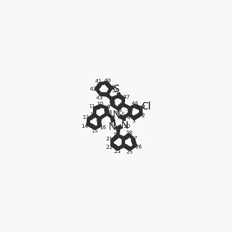 Clc1ccc(-c2nc(-c3cccc4ccccc34)nc(-c3cccc4ccccc34)n2)c(-c2ccc3c(c2)sc2ccccc23)c1